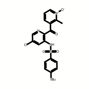 Cc1c(C(=O)c2ncc(Cl)cc2NS(=O)(=O)c2ccc(C(C)(C)C)cc2)ccc[n+]1[O-]